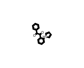 O=C(C(=O)c1ccccc1[SH]1C=CC=C1)c1ccccc1